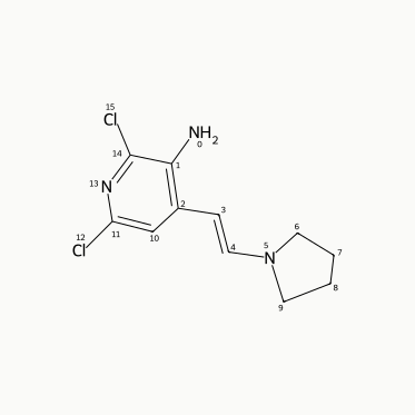 Nc1c(/C=C/N2CCCC2)cc(Cl)nc1Cl